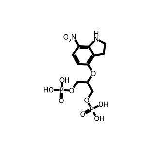 O=[N+]([O-])c1ccc(OC(COP(=O)(O)O)COP(=O)(O)O)c2c1NCC2